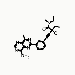 CCN(C)C(=O)C(O)(C#Cc1cccc(-c2nc(C)c3ncnc(N)c3n2)c1)CC